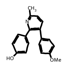 COc1ccc(-c2ccc(C)nc2-c2ccc(O)cc2)cc1